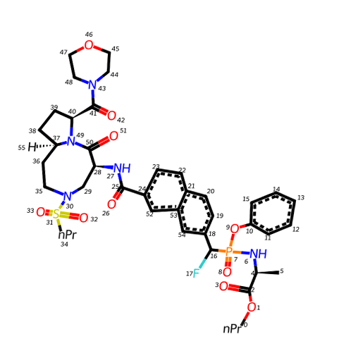 CCCOC(=O)[C@H](C)NP(=O)(Oc1ccccc1)C(F)c1ccc2ccc(C(=O)N[C@H]3CN(S(=O)(=O)CCC)CC[C@H]4CC[C@@H](C(=O)N5CCOCC5)N4C3=O)cc2c1